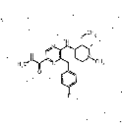 CC[C@@H]1CN(C)CC[C@H]1Nc1ncc(C(=O)NC)nc1Cc1ccc(F)cc1